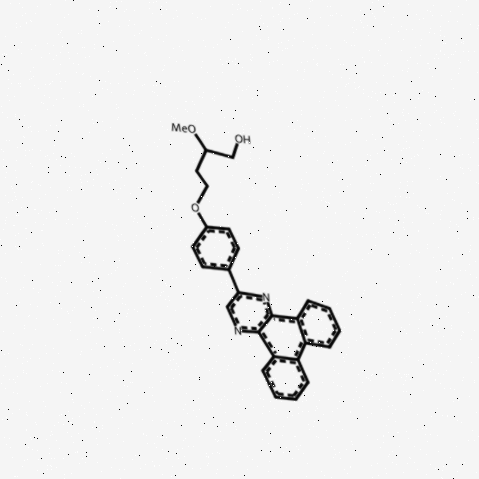 COC(CO)CCOc1ccc(-c2cnc3c4ccccc4c4ccccc4c3n2)cc1